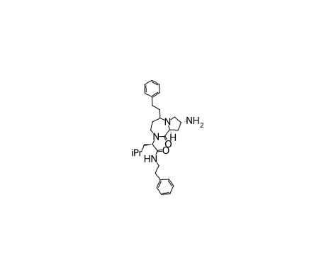 CC(C)C[C@H](C(=O)NCCc1ccccc1)N1CCC(CCc2ccccc2)N2C[C@H](N)C[C@H]2C1=O